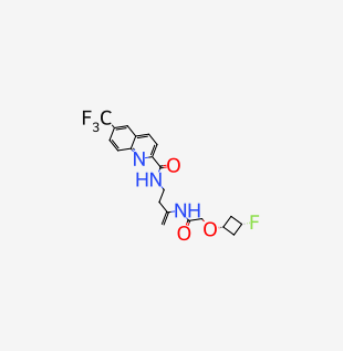 C=C(CCNC(=O)c1ccc2cc(C(F)(F)F)ccc2n1)NC(=O)CO[C@H]1C[C@@H](F)C1